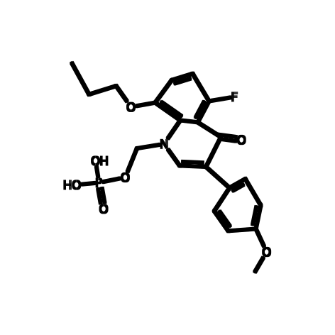 CCCOc1ccc(F)c2c(=O)c(-c3ccc(OC)cc3)cn(COP(=O)(O)O)c12